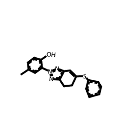 Cc1ccc(O)c(-n2nc3c(n2)CCC(Sc2ccccc2)=C3)c1